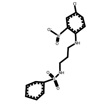 O=[N+]([O-])c1cc(Cl)ccc1NCCCNS(=O)(=O)c1ccccc1